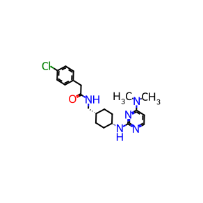 CN(C)c1ccnc(N[C@H]2CC[C@@H](CNC(=O)Cc3ccc(Cl)cc3)CC2)n1